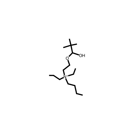 CCCC[N+](CC)(CCC)CCOC(O)C(C)(C)C